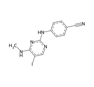 CNc1nc(Nc2ccc(C#N)cc2)ncc1I